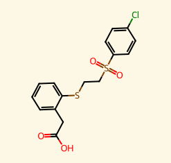 O=C(O)Cc1ccccc1SCCS(=O)(=O)c1ccc(Cl)cc1